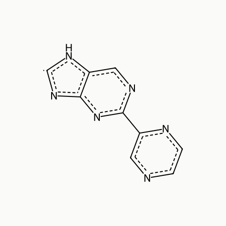 [c]1nc2nc(-c3cnccn3)ncc2[nH]1